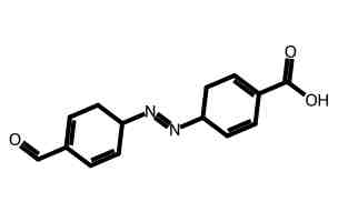 O=CC1=CCC(N=NC2C=CC(C(=O)O)=CC2)C=C1